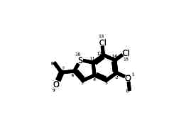 COc1cc2cc(C(C)=O)sc2c(Cl)c1Cl